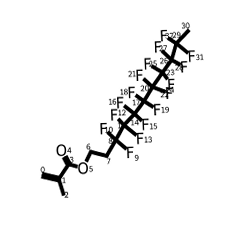 C=C(C)C(=O)OCCC(F)(F)C(F)(F)C(F)(F)C(F)(F)C(F)(F)C(F)(F)C(F)(F)C(C)(F)F